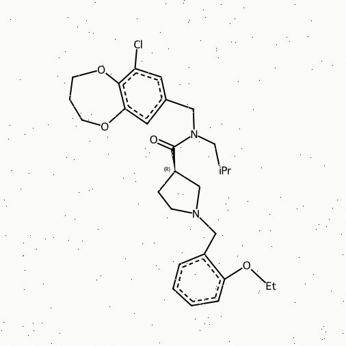 CCOc1ccccc1CN1CC[C@@H](C(=O)N(Cc2cc(Cl)c3c(c2)OCCCO3)CC(C)C)C1